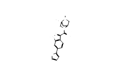 CN1C[C@@H]2C[C@H]1CN2C(=O)c1n[nH]c2cc(-c3ccco3)ccc12